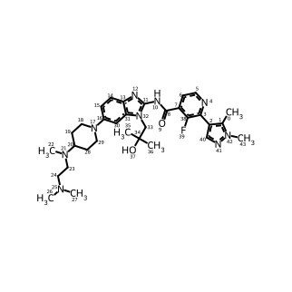 Cc1c(-c2nccc(C(=O)Nc3nc4ccc(N5CCC(N(C)CCN(C)C)CC5)cc4n3CC(C)(C)O)c2F)cnn1C